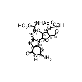 CC(=O)N[C@@H](CSc1nc2c(=O)[nH]c(N)nc2n1C1OC2COP(=O)(O)OC2C1O)C(=O)O